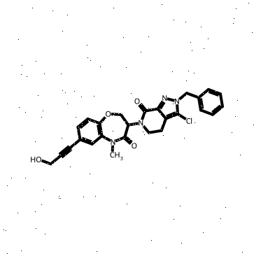 CN1C(=O)C(N2CCc3c(nn(Cc4ccccc4)c3Cl)C2=O)COc2ccc(C#CCO)cc21